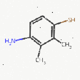 Cc1c(N)ccc(S)c1C